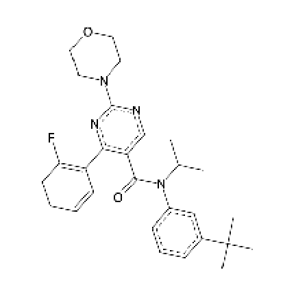 CC(C)N(C(=O)c1cnc(N2CCOCC2)nc1C1=C(F)CCC=C1)c1cccc(C(C)(C)C)c1